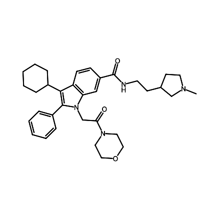 CN1CCC(CCNC(=O)c2ccc3c(C4CCCCC4)c(-c4ccccc4)n(CC(=O)N4CCOCC4)c3c2)C1